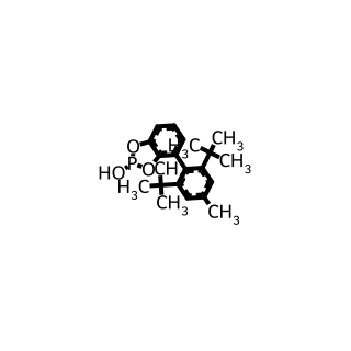 Cc1cc(C(C)(C)C)c(-c2cccc3c2OP(O)O3)c(C(C)(C)C)c1